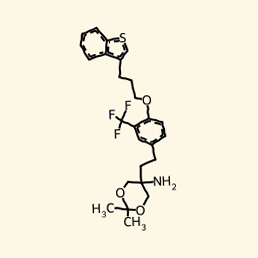 CC1(C)OCC(N)(CCc2ccc(OCCCc3csc4ccccc34)c(C(F)(F)F)c2)CO1